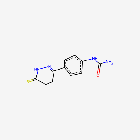 NC(=O)Nc1ccc(C2=NNC(=S)CC2)cc1